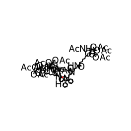 CC(=O)NC1C(OC(C)=O)=C(OC(C)=O)C(COC(C)=O)O[C@H]1OCCCCCCC(=O)NCCCN(CCCN(CCCNC(=O)CCCCCCO[C@@H]1OC(COC(C)=O)[C@H](OC(C)=O)C(OC(C)=O)C1NC(C)=O)C(c1ccccc1)(c1ccccc1)c1ccccc1)C(=O)CCCCCCO[C@@H]1OC(COC(C)=O)C(OC(C)=O)=C(OC(C)=O)C1NC(C)=O